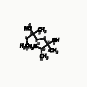 CCC(C)(O)CCC(C)(O)C(C)N